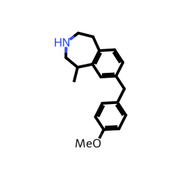 COc1ccc(Cc2ccc3c(c2)C(C)CNCC3)cc1